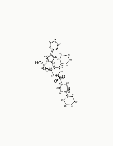 O=C(O)c1sc(-c2ccccc2)cc1N1C(=O)CN(S(=O)(=O)c2ccc(N3CCCCC3)nc2)CC1C1CCCCC1